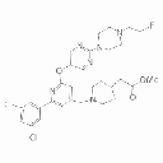 COC(=O)CC1CCN(Cc2cc(Oc3cnc(N4CCN(CCF)CC4)nc3)nc(-c3cc(Cl)cc(Cl)c3)c2)CC1